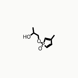 CC1=CP(=O)(OCC(C)O)C=C1